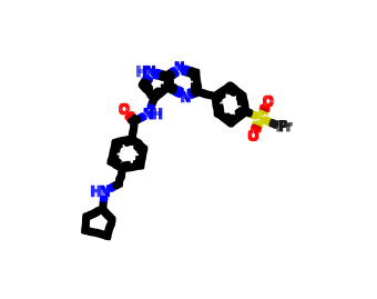 CC(C)S(=O)(=O)c1ccc(-c2cnc3[nH]cc(NC(=O)c4ccc(CNC5CCCC5)cc4)c3n2)cc1